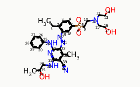 CCc1ccc(S(=O)(=O)CCN(CCO)CCO)cc1/N=N/c1c(Nc2ccccc2)nc(NCC(C)O)c(C#N)c1C